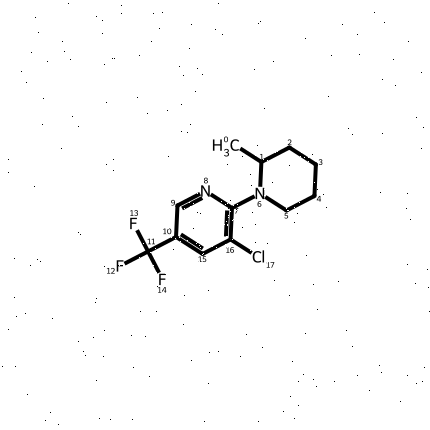 CC1CCCCN1c1ncc(C(F)(F)F)cc1Cl